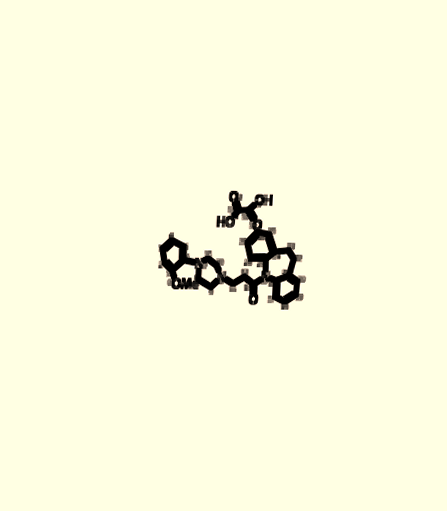 COc1ccccc1N1CCN(CCC(=O)N2c3ccccc3CCc3ccccc32)CC1.O=C(O)C(=O)O